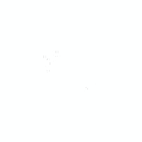 CCOP(=O)(CCCCCCCCCCC(N)CC)OP(C)(=O)O